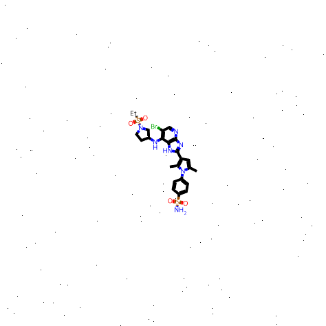 CCS(=O)(=O)N1CCC(Nc2c(Br)cnc3nc(-c4cc(C)n(-c5ccc(S(N)(=O)=O)cc5)c4C)[nH]c23)C1